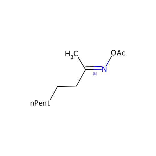 CCCCCCC/C(C)=N/OC(C)=O